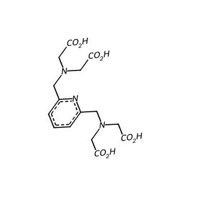 O=C(O)CN(CC(=O)O)Cc1cccc(CN(CC(=O)O)CC(=O)O)n1